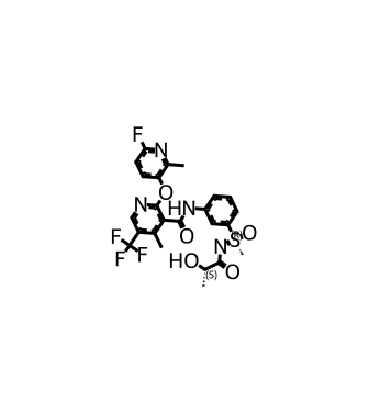 Cc1nc(F)ccc1Oc1ncc(C(F)(F)F)c(C)c1C(=O)Nc1cccc([S@@](C)(=O)=NC(=O)[C@H](C)O)c1